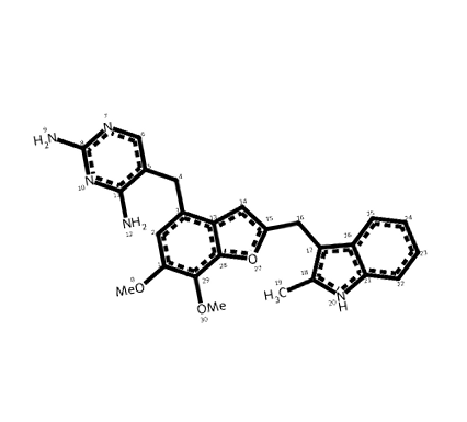 COc1cc(Cc2cnc(N)nc2N)c2cc(Cc3c(C)[nH]c4ccccc34)oc2c1OC